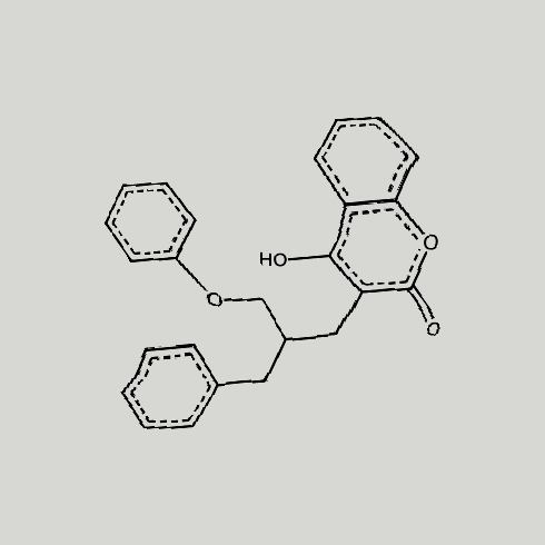 O=c1oc2ccccc2c(O)c1CC(COc1ccccc1)Cc1ccccc1